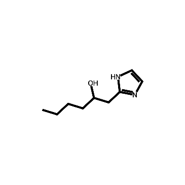 CCCCC(O)Cc1ncc[nH]1